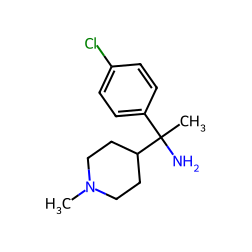 CN1CCC(C(C)(N)c2ccc(Cl)cc2)CC1